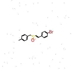 Cc1ccc(C[S+]([O-])C=Cc2ccc(Br)cc2)cc1